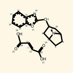 CN1C2CCC1CC(Oc1nc3ccccc3o1)C2.O=C(O)/C=C/C(=O)O